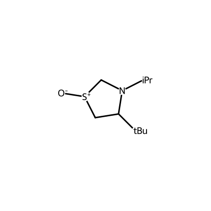 CC(C)N1C[S+]([O-])CC1C(C)(C)C